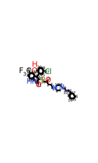 O=C(CCCN1CCN(C/C=C/c2ccccc2)CC1)CSc1c(-c2cc(Cl)ccc2O)c2cc(C(F)(F)F)ccc2[nH]c1=O